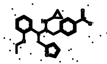 CCOc1ccccc1N([CH]c1ccco1)N(Cc1ccc([N+](=O)[O-])cc1)NC1CC1